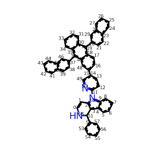 C1=Cc2c(c3ccccc3n2-c2ccc(-c3ccc4c(-c5ccc6ccccc6c5)c5ccccc5c(-c5ccc6ccccc6c5)c4c3)cn2)C(c2ccccc2)N1